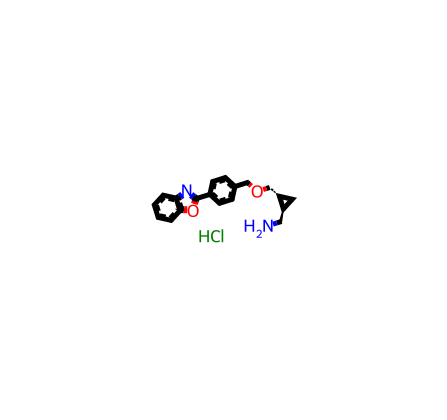 Cl.NC[C@@H]1C[C@H]1COCc1ccc(-c2nc3ccccc3o2)cc1